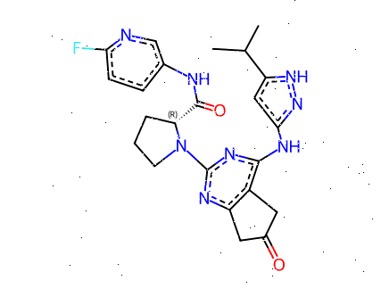 CC(C)c1cc(Nc2nc(N3CCC[C@@H]3C(=O)Nc3ccc(F)nc3)nc3c2CC(=O)C3)n[nH]1